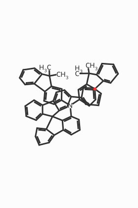 CC1(C)c2ccccc2-c2ccc(N(c3ccc4c(c3)C(C)(C)c3ccccc3-4)c3cccc4c3C3(c5ccccc5-c5ccc(-c6ccccc6)cc53)c3ccccc3-4)cc21